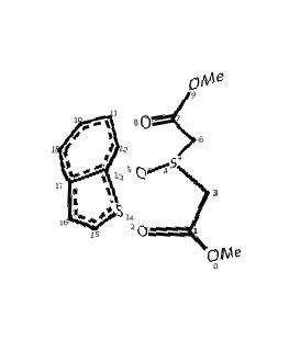 COC(=O)C[S+]([O-])CC(=O)OC.c1ccc2sccc2c1